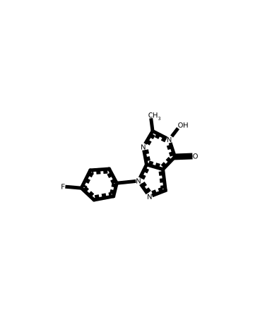 Cc1nc2c(cnn2-c2ccc(F)cc2)c(=O)n1O